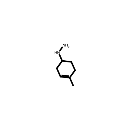 CC1=CCC(NN)CC1